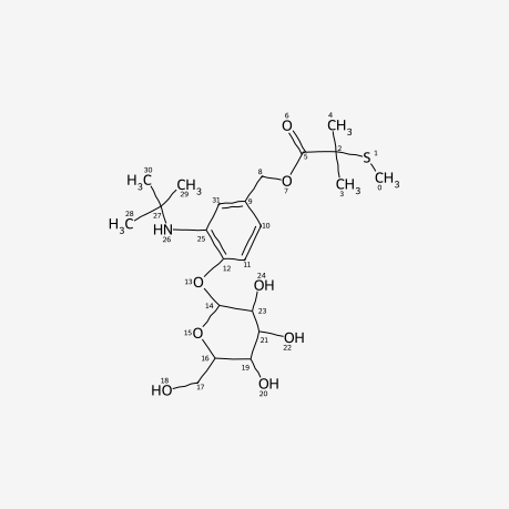 CSC(C)(C)C(=O)OCc1ccc(OC2OC(CO)C(O)C(O)C2O)c(NC(C)(C)C)c1